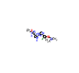 CC(C)CC(=O)Nc1cncc(-c2ccc3[nH]nc(-c4nc5c(-c6cc(F)cc(OCCN(C)C)c6)nccc5[nH]4)c3c2)c1